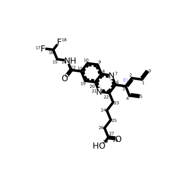 C=C/C=C(\C=C)c1nc2ccc(C(=O)NCC(F)F)cc2nc1CCCCC(=O)O